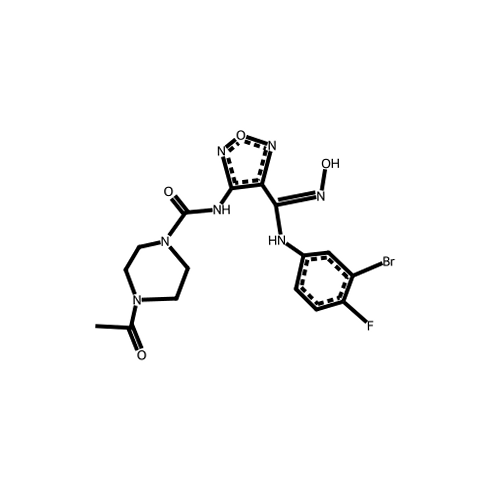 CC(=O)N1CCN(C(=O)Nc2nonc2/C(=N\O)Nc2ccc(F)c(Br)c2)CC1